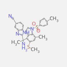 CSc1cc(C)c2c(ccn2S(=O)(=O)c2ccc(C)cc2)c1C(C)(N)c1nc2cc(C#N)ccc2[nH]1